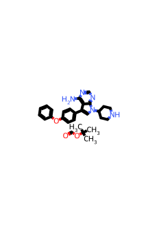 CC(C)(C)OC=O.Nc1ncnc2c1c(-c1ccc(Oc3ccccc3)cc1)cn2C1CCNCC1